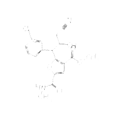 CNC(=O)c1cc(C(=O)OC)c(C(c2cccc(Cl)c2)C(C)CC#N)o1